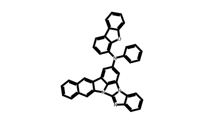 c1ccc(N(c2cc3c4cc5ccccc5cc4n4c3c(c2)n2c3ccccc3nc24)c2cccc3c2oc2ccccc23)cc1